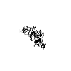 N#Cc1nc(NC2CCC(F)(F)CC2)c2ccn([C@@H]3O[C@H](COCP(=O)(O)O)[C@@H](O)[C@H]3O)c2n1